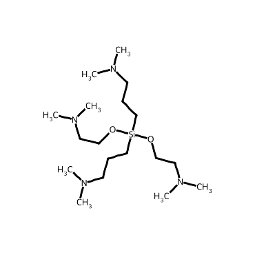 CN(C)CCC[Si](CCCN(C)C)(OCCN(C)C)OCCN(C)C